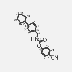 N#Cc1ccc(OC(=O)NCc2ccc(C3CCCCC3)cc2)cc1